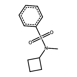 CN(C1CCC1)S(=O)(=O)c1ccccc1